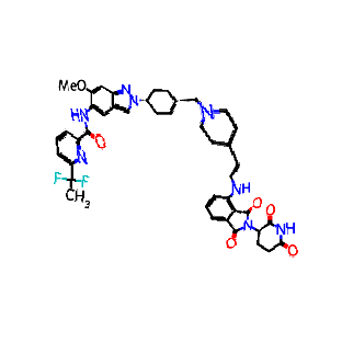 COc1cc2nn([C@H]3CC[C@H](CN4CCC(CCNc5cccc6c5C(=O)N(C5CCC(=O)NC5=O)C6=O)CC4)CC3)cc2cc1NC(=O)c1cccc(C(C)(F)F)n1